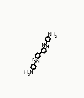 Nc1ccc(C2=Nc3cc(=c4ccc5c(c4)N=C(c4ccc(N)cc4)N=5)ccc3=N2)cc1